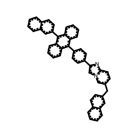 c1ccc2cc(Cc3ccc4nc(-c5ccc(-c6c7ccccc7c(-c7ccc8ccccc8c7)c7ccccc67)cc5)cn4c3)ccc2c1